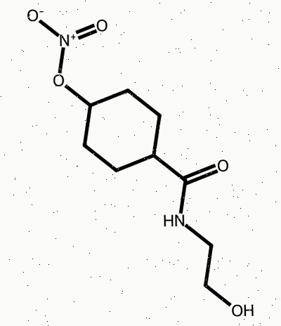 O=C(NCCO)C1CCC(O[N+](=O)[O-])CC1